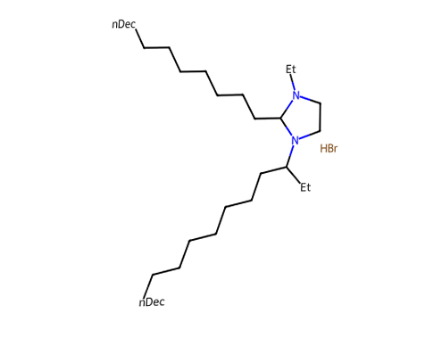 Br.CCCCCCCCCCCCCCCCCC(CC)N1CCN(CC)C1CCCCCCCCCCCCCCCCC